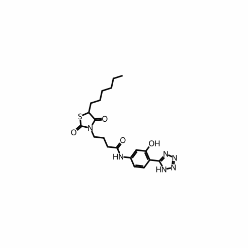 CCCCCCC1SC(=O)N(CCCC(=O)Nc2ccc(-c3nnn[nH]3)c(O)c2)C1=O